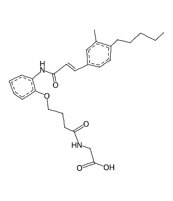 CCCCCc1ccc(/C=C/C(=O)Nc2ccccc2OCCCC(=O)NCC(=O)O)cc1C